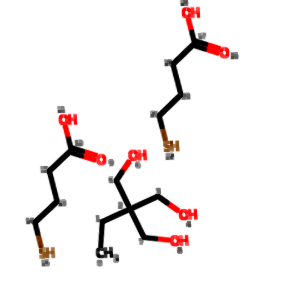 CCC(CO)(CO)CO.O=C(O)CCCS.O=C(O)CCCS